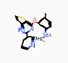 Cc1ccc(NC=O)cc1Oc1nc(-c2cccnc2)nc2ccsc12